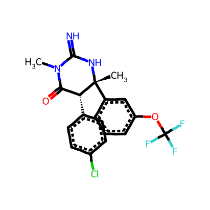 CN1C(=N)N[C@](C)(c2cccc(OC(F)(F)F)c2)[C@H](c2ccc(Cl)cc2)C1=O